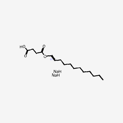 CCCCCCCCCC/C=C/OC(=O)CCC(=O)O.[NaH].[NaH]